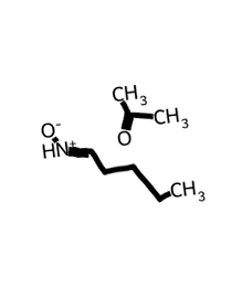 CC(C)=O.CCCCC=[NH+][O-]